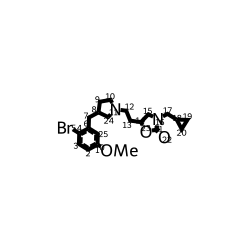 COc1ccc(Br)c(CC2CCN(CCC3CN(CC4CC4)C(=O)O3)C2)c1